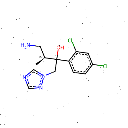 C[C@@H](CN)C(O)(Cn1cncn1)c1ccc(Cl)cc1Cl